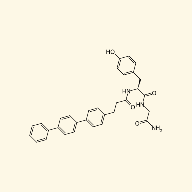 NC(=O)CNC(=O)[C@H](Cc1ccc(O)cc1)NC(=O)CCc1ccc(-c2ccc(-c3ccccc3)cc2)cc1